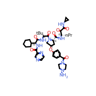 CCC[C@H](NC(=O)[C@@H]1C[C@@H](Oc2ccc(C(=O)N3CCN(N)CC3)cc2)CN1C(=O)[C@@H](NC(=O)[C@@H](NC(=O)c1cnccn1)C1CCCCC1)C(C)(C)C)C(=O)C(=O)NC1CC1